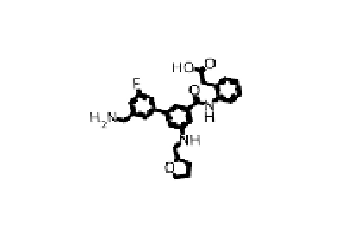 NCc1cc(F)cc(-c2cc(NCC3CCCO3)cc(C(=O)Nc3ccccc3CC(=O)O)c2)c1